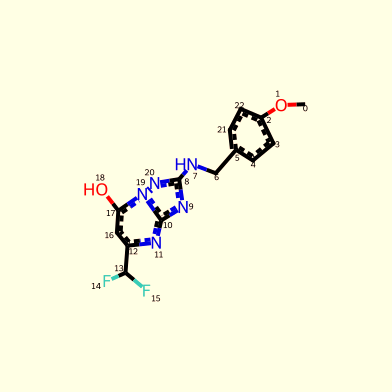 COc1ccc(CNc2nc3nc(C(F)F)cc(O)n3n2)cc1